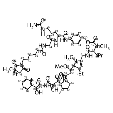 CC[C@@H]1C=C(CNC(=O)C(C(C)C)N(C)C(=O)OCc2ccc(NC(=O)[C@H](CCCNC(N)=O)NC(=O)CNC(=O)CCCCCN3C(=O)CC(C)(CC)C3=O)cc2)N(C)[C@@H]1[C@@H](CC(=O)N1CCC[C@H]1[C@H](OC)[C@@H](C)C(=O)N[C@H](C)[C@@H](O)c1ccccc1)OC